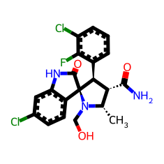 C[C@H]1[C@@H](C(N)=O)[C@H](c2cccc(Cl)c2F)[C@]2(C(=O)Nc3cc(Cl)ccc32)N1CO